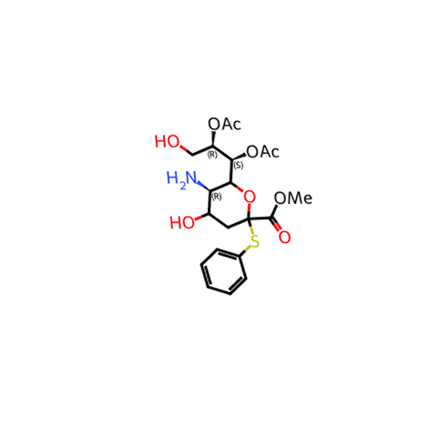 COC(=O)C1(Sc2ccccc2)CC(O)[C@@H](N)C([C@H](OC(C)=O)[C@@H](CO)OC(C)=O)O1